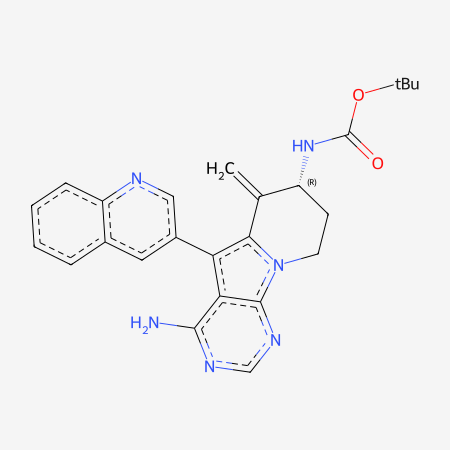 C=C1c2c(-c3cnc4ccccc4c3)c3c(N)ncnc3n2CC[C@H]1NC(=O)OC(C)(C)C